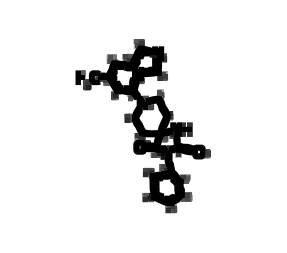 O=C1NC2(CCN(c3cc(C(F)(F)F)cc4cncn34)CC2)C(=O)N1c1ccccc1